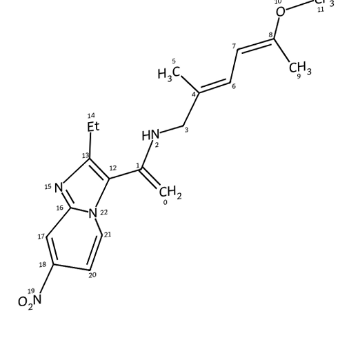 C=C(NC/C(C)=C/C=C(\C)OC(F)(F)F)c1c(CC)nc2cc([N+](=O)[O-])ccn12